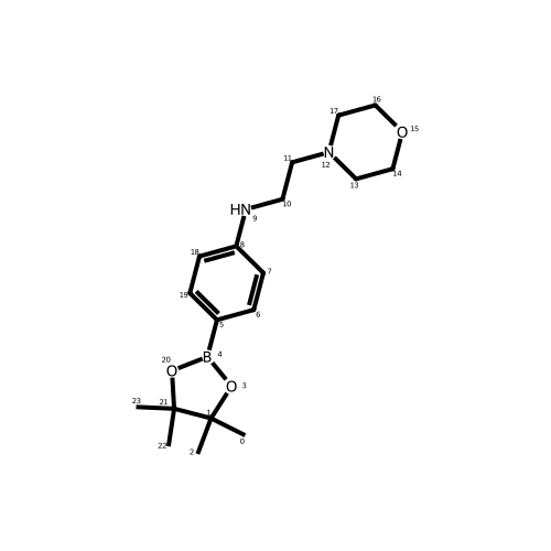 CC1(C)OB(c2ccc(NCCN3CCOCC3)cc2)OC1(C)C